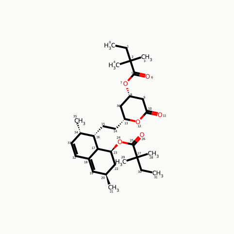 CCC(C)(C)C(=O)O[C@@H]1CC(=O)O[C@H](CC[C@@H]2C3C(=C[C@H](C)C[C@@H]3OC(=O)C(C)(C)CC)C=C[C@@H]2C)C1